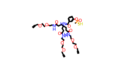 C#CCOCCOCCNC(=O)CCC(CCC(=O)NCCOCCOCC#C)(CCC(=O)NCCOCCOCC#C)NC(=O)c1cccc(OP(C)(=O)S)c1